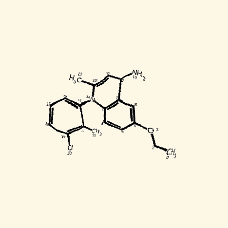 CCOc1ccc2c(c1)C(N)C=C(C)N2c1cccc(Cl)c1C